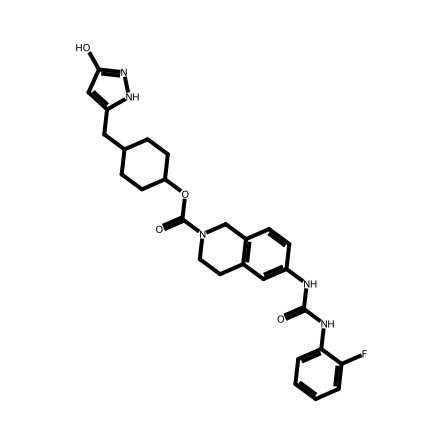 O=C(Nc1ccc2c(c1)CCN(C(=O)OC1CCC(Cc3cc(O)n[nH]3)CC1)C2)Nc1ccccc1F